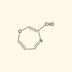 O=CC1=COC=CC=N1